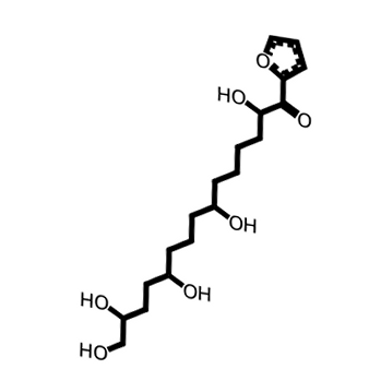 O=C(c1ccco1)C(O)CCCCC(O)CCCC(O)CCC(O)CO